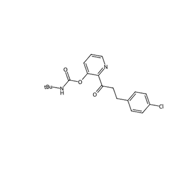 CC(C)(C)NC(=O)Oc1cccnc1C(=O)CCc1ccc(Cl)cc1